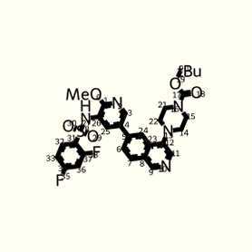 COc1ncc(-c2ccc3cncc(N4CCN(C(=O)OC(C)(C)C)CC4)c3c2)cc1NS(=O)(=O)c1ccc(F)cc1F